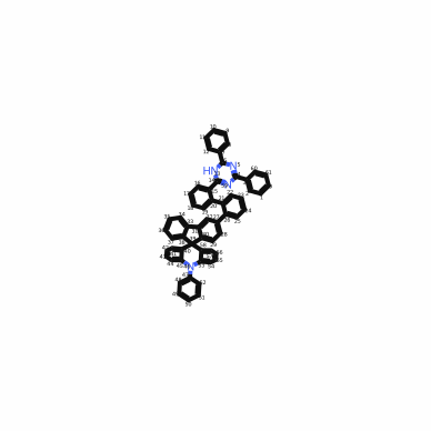 c1ccc(C2=NC(c3ccccc3)NC(c3ccccc3-c3ccccc3-c3ccc4c(c3)-c3ccccc3C43c4ccccc4N(c4ccccc4)c4ccccc43)=N2)cc1